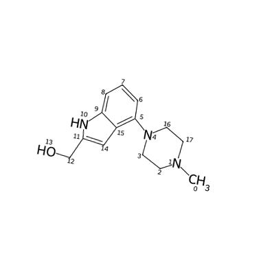 CN1CCN(c2cccc3[nH]c(CO)cc23)CC1